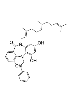 CC(C)=CCC/C(C)=C/CC/C(C)=C/CN1C(=O)c2cccc(O)c2N(CCc2ccccc2)c2c(O)cc(O)cc21